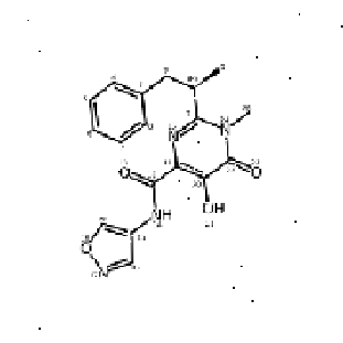 C[C@H](Cc1ccccc1)c1nc(C(=O)Nc2cnoc2)c(O)c(=O)n1C